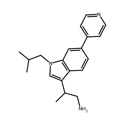 CC(C)Cn1cc(C(C)CN)c2ccc(-c3ccncc3)cc21